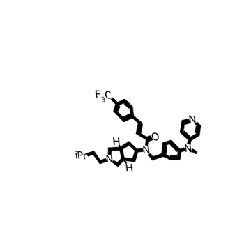 CC(C)CCN1C[C@H]2CC(N(Cc3ccc(N(C)c4ccncc4)cc3)C(=O)/C=C/c3ccc(C(F)(F)F)cc3)C[C@H]2C1